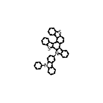 c1ccc(-n2c3ccccc3c3cc(-n4c5ccccc5c5c6ccc7sc8ccccc8c7c6c6c7ccccc7sc6c54)ccc32)cc1